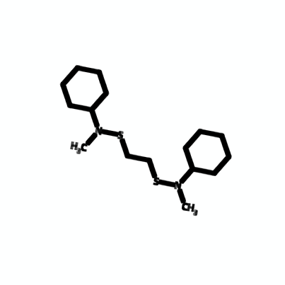 CN(SCCSN(C)C1CCCCC1)C1CCCCC1